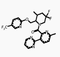 Cc1ccc(-c2ncccn2)c(C(=O)N2CC(F)(F)CC(C)C2COc2ccc(C(F)(F)F)cn2)n1